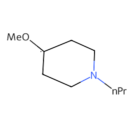 CCCN1CC[C](OC)CC1